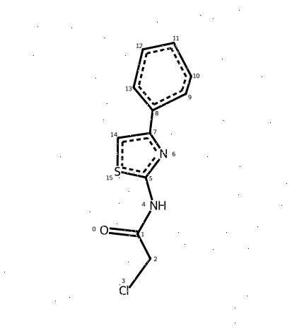 O=C(CCl)Nc1nc(-c2ccccc2)cs1